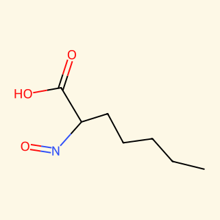 CCCCCC(N=O)C(=O)O